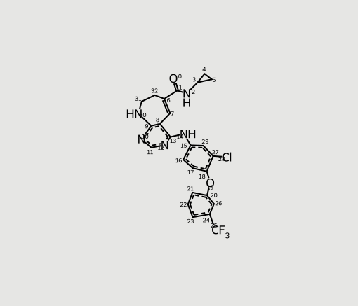 O=C(NC1CC1)C1=Cc2c(ncnc2Nc2ccc(Oc3cccc(C(F)(F)F)c3)c(Cl)c2)NCC1